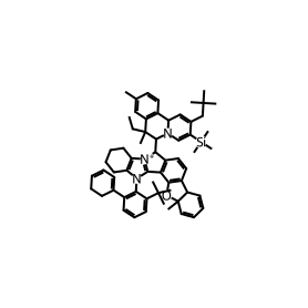 CCC1(C)c2cc(C)ccc2C2C=C(CC(C)(C)C)C([Si](C)(C)C)=CN2C1C1c2ccc3c(c2-c2n(-c4c(C5=CC=CCC5)cccc4C(C)(C)C)c4c([n+]21)CCCC4)OC1(C)C=CC=CC31